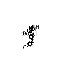 CC(C)(C)C(O)(Cc1nc[nH]n1)c1ccc(Oc2ccc(Cl)cc2)cc1Cl